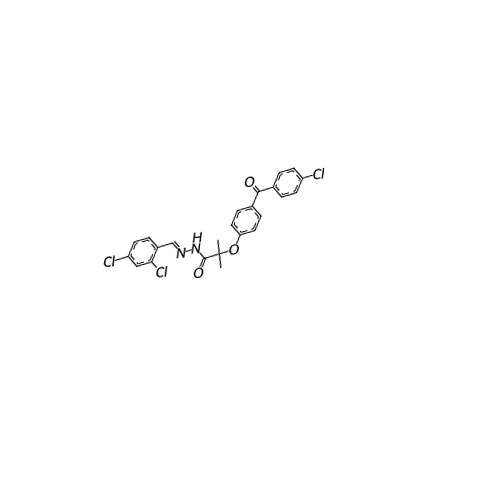 CC(C)(Oc1ccc(C(=O)c2ccc(Cl)cc2)cc1)C(=O)N/N=C/c1ccc(Cl)cc1Cl